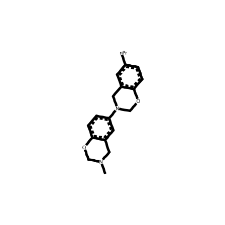 CCCc1ccc2c(c1)CN(c1ccc3c(c1)CN(C)CO3)CO2